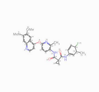 CNc1cc2nccc(Oc3ccc(NC(=O)C4(C(=O)NC5=C[C@H](C)C(F)C=C5)CC4)c(C)n3)c2cc1OC